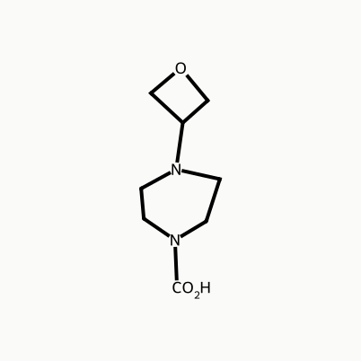 O=C(O)N1CCN(C2COC2)CC1